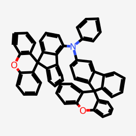 c1ccc2c(c#1)Oc1ccccc1C21c2ccccc2-c2c(N(c3ccccc3)c3ccc4c(c3)-c3ccccc3C43c4ccccc4Oc4ccccc43)cccc21